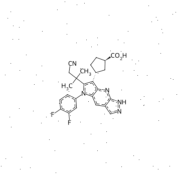 CC(C)(CC#N)c1c([C@@H]2CC[C@@H](C(=O)O)C2)c2nc3[nH]ncc3cc2n1-c1ccc(F)c(F)c1